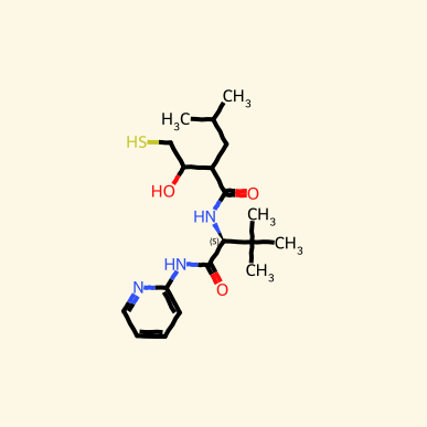 CC(C)CC(C(=O)N[C@H](C(=O)Nc1ccccn1)C(C)(C)C)C(O)CS